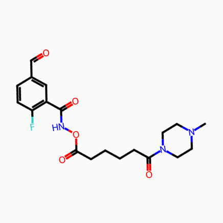 CN1CCN(C(=O)CCCCC(=O)ONC(=O)c2cc(C=O)ccc2F)CC1